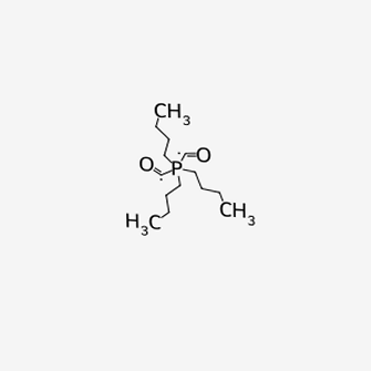 CCCCP([C]=O)([C]=O)(CCCC)CCCC